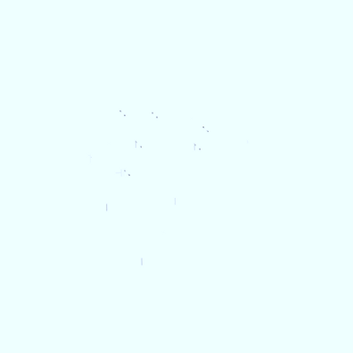 OCCn1cc(Nc2ncc(Cl)c(NCc3c(F)cc(F)cc3F)n2)cn1